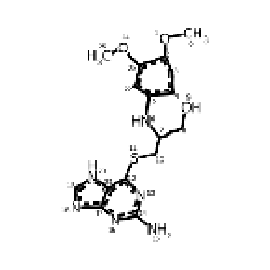 COc1ccc(NC(CO)CSc2nc(N)nc3nc[nH]c23)cc1OC